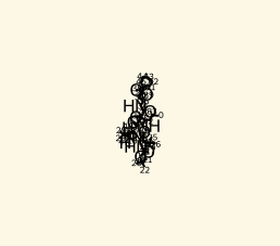 CCCC(NC(=O)[C@@H]1[C@@H]2[C@H](CN1C(=O)[C@@H](NC(=O)OC(C)(C)C)C(C)(C)C)C2(C)C)C(=O)C(=O)NCCS(=O)(=O)c1ccccc1